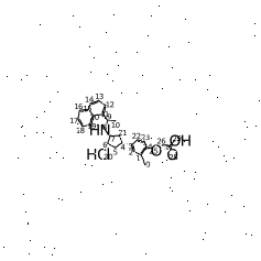 Cc1cc([C@@H]2CC[C@H](N[C@H](C)c3cccc4ccccc34)C2)ccc1OCC(=O)O.Cl